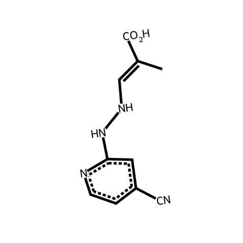 C/C(=C\NNc1cc(C#N)ccn1)C(=O)O